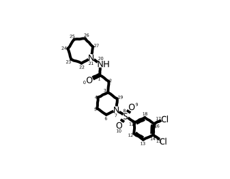 O=C(CC1CCCN(S(=O)(=O)c2ccc(Cl)c(Cl)c2)C1)NN1CCCCCC1